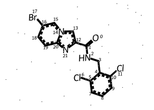 O=C(NCc1c(Cl)cccc1Cl)c1cn2cc(Br)ccc2n1